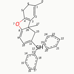 CC1=CC2=C(CC1)OC1=CC=C([SiH](c3ccccc3)c3ccccc3)CC12C